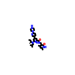 CC[C@@H](C)N(C=C(C)C)c1cc(-c2ccc(N3CCNCC3)nc2)cc(C(=O)NCc2c(C)cc(C)[nH]c2=O)n1